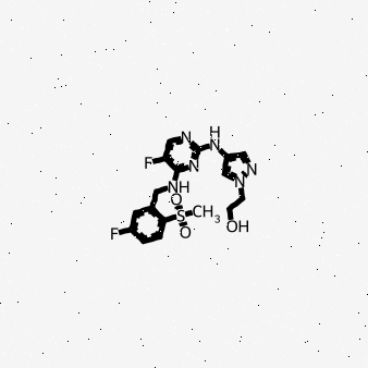 CS(=O)(=O)c1ccc(F)cc1CNc1nc(Nc2cnn(CCO)c2)ncc1F